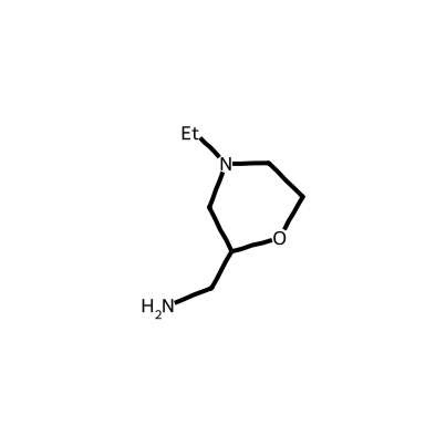 CCN1CCOC(CN)C1